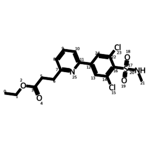 CCOC(=O)CCc1cccc(-c2cc(Cl)c(S(=O)(=O)NC)c(Cl)c2)n1